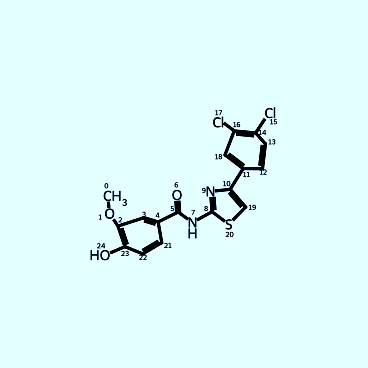 COc1cc(C(=O)Nc2nc(-c3ccc(Cl)c(Cl)c3)cs2)ccc1O